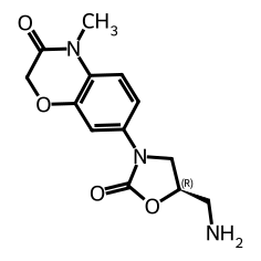 CN1C(=O)COc2cc(N3C[C@@H](CN)OC3=O)ccc21